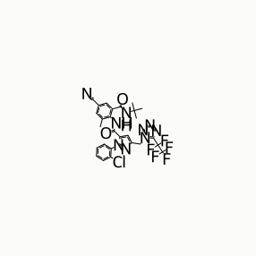 Cc1cc(C#N)cc(C(=O)NC(C)(C)C)c1NC(=O)c1cc(Cn2nnnc2C(F)(F)C(F)(F)F)nn1-c1ccccc1Cl